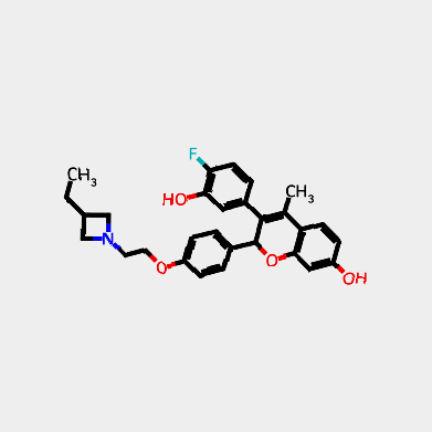 CCC1CN(CCOc2ccc(C3Oc4cc(O)ccc4C(C)=C3c3ccc(F)c(O)c3)cc2)C1